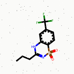 CCCC1=NS(=O)(=O)c2ccc(C(F)(F)F)cc2N1